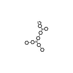 c1ccc(-c2ccc(N(c3ccc(-c4ccccc4)cc3)c3ccc(-c4ccc(N(c5ccccc5)c5ccc6sccc6c5)cc4)cc3)cc2)cc1